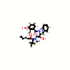 C=CCCC(=O)[C@H]1N(C(=O)[C@@H](O)[C@H](Cc2ccccc2)NCc2cccc(O)c2C)CSC1(C)C